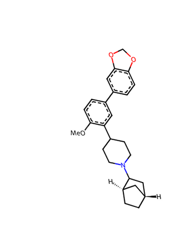 COc1ccc(-c2ccc3c(c2)OCO3)cc1C1CCN(C2C[C@@H]3CC[C@@H]2C3)CC1